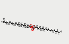 CCCCCCCCC=CCCCCCCCCOC(=O)OCCCCCCCCCCCCCCCCCC(C)C